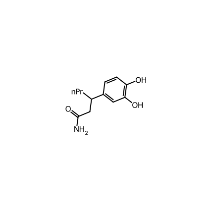 CCCC(CC(N)=O)c1ccc(O)c(O)c1